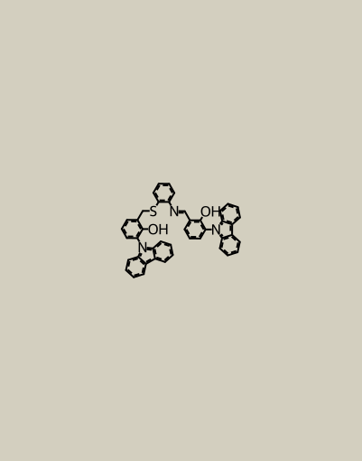 Oc1c(/C=N/c2ccccc2SCc2cccc(-n3c4ccccc4c4ccccc43)c2O)cccc1-n1c2ccccc2c2ccccc21